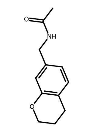 CC(=O)NCc1ccc2c(c1)OCCC2